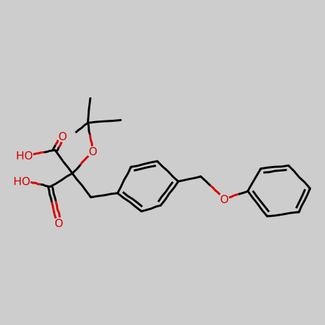 CC(C)(C)OC(Cc1ccc(COc2ccccc2)cc1)(C(=O)O)C(=O)O